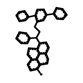 Brc1ccc2ccc3c(C(CCc4cc(-c5ccccc5)ccc4-c4ccccc4)c4ccccc4)ccc4ccc1c2c43